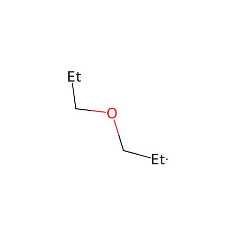 C[CH]COCCC